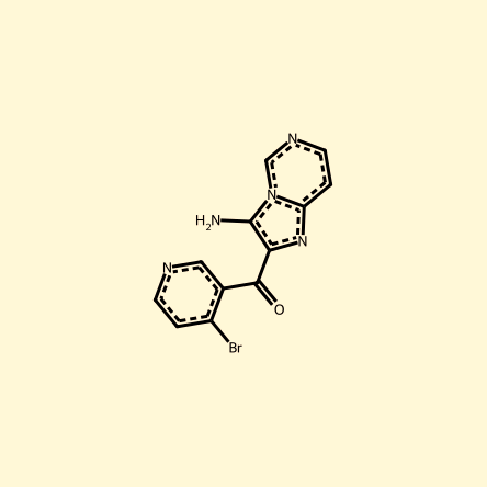 Nc1c(C(=O)c2cnccc2Br)nc2ccncn12